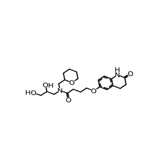 O=C1CCc2cc(OCCCC(=O)N(CC(O)CO)CC3CCCCO3)ccc2N1